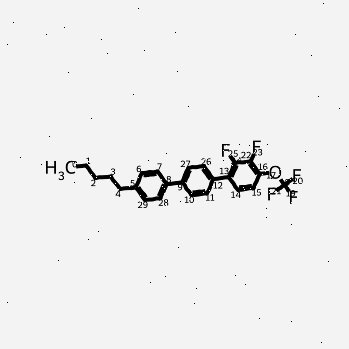 CCCCCc1ccc(-c2ccc(-c3ccc(OC(F)(F)F)c(F)c3F)cc2)cc1